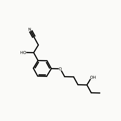 CCC(O)CCCOc1cccc(C(O)CC#N)c1